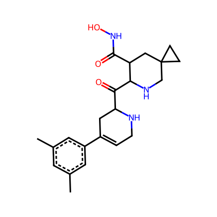 Cc1cc(C)cc(C2=CCNC(C(=O)C3NCC4(CC4)CC3C(=O)NO)C2)c1